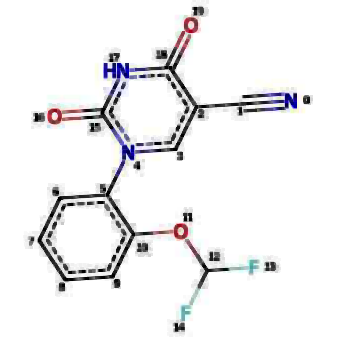 N#Cc1cn(-c2ccccc2OC(F)F)c(=O)[nH]c1=O